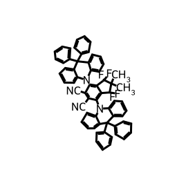 CC1(C)C(F)(F)c2c(N3c4ccccc4C(c4ccccc4)(c4ccccc4)c4ccccc43)c(C#N)c(C#N)c(N3c4ccccc4C(c4ccccc4)(c4ccccc4)c4ccccc43)c2C1(F)F